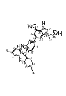 Cc1cnc(OC2CCN(C)CC2F)c(Nc2nccc(-c3cc(C#N)c4c(c3)[C@@](C)(CO)CN4)n2)c1